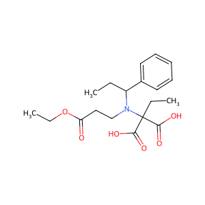 CCOC(=O)CCN(C(CC)c1ccccc1)C(CC)(C(=O)O)C(=O)O